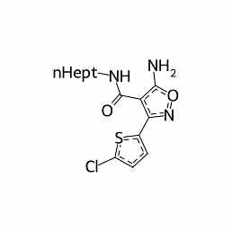 CCCCCCCNC(=O)c1c(-c2ccc(Cl)s2)noc1N